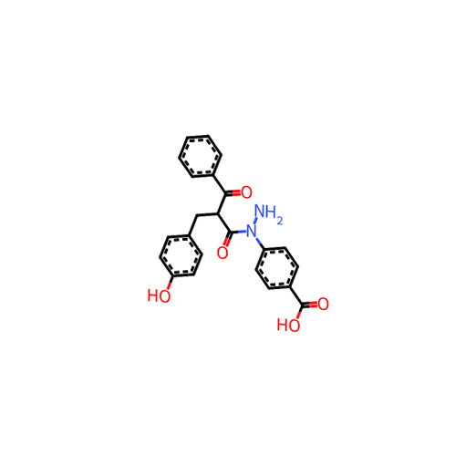 NN(C(=O)C(Cc1ccc(O)cc1)C(=O)c1ccccc1)c1ccc(C(=O)O)cc1